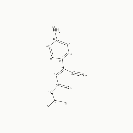 CC(C)OC(=O)C=C(C#N)c1ccc(N)cc1